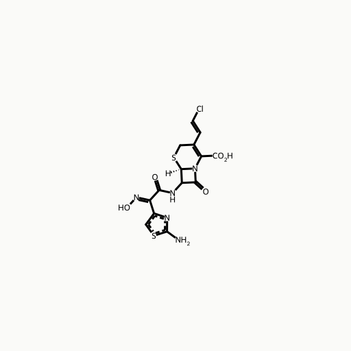 Nc1nc(/C(=N\O)C(=O)NC2C(=O)N3C(C(=O)O)=C(/C=C/Cl)CS[C@H]23)cs1